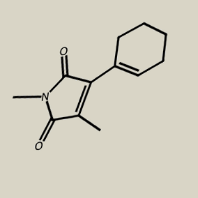 CC1=C(C2=CCCCC2)C(=O)N(C)C1=O